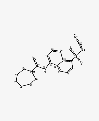 [N-]=[N+]=NS(=O)(=O)c1cccc2c(NC(=O)N3CCCCCC3)cccc12